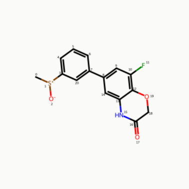 C[S+]([O-])c1cccc(-c2cc(F)c3c(c2)NC(=O)CO3)c1